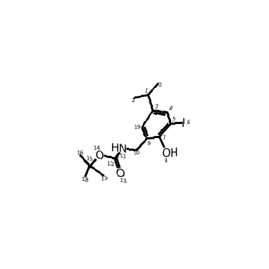 CC(C)c1cc(I)c(O)c(CNC(=O)OC(C)(C)C)c1